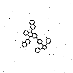 CC1CC=CC(c2ccc(-c3ccccc3)n2-c2ccc(-c3ccc4c(-c5ccc6ccccc6c5)c5ccccc5c(-c5ccc6ccccc6c5)c4c3)cc2)C1